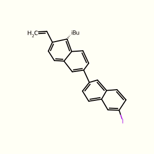 C=Cc1ccc2cc(-c3ccc4cc(I)ccc4c3)ccc2c1[C@@H](C)CC